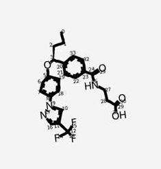 CCC[C@H](Oc1ccc(-n2cc(C(F)(F)F)cn2)cc1)c1ccc(C(=O)NCCC(=O)O)cc1